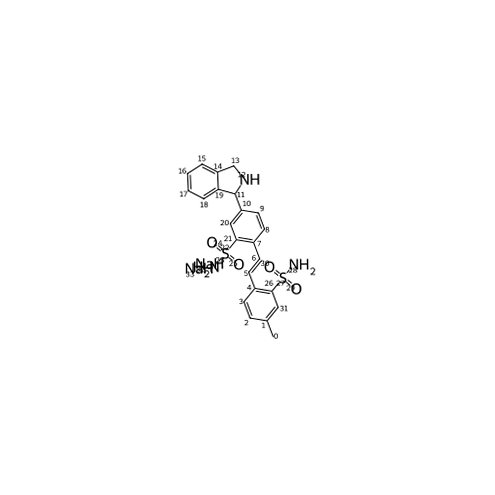 Cc1ccc(C=Cc2ccc(C3NCc4ccccc43)cc2S(N)(=O)=O)c(S(N)(=O)=O)c1.[NaH].[NaH]